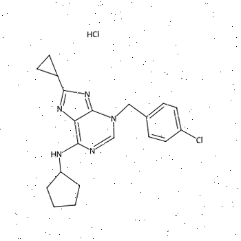 Cl.Clc1ccc(Cn2cnc(NC3CCCC3)c3nc(C4CC4)nc2-3)cc1